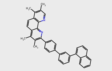 Cc1cnc2c(ccc3c(C)c(C)c(-c4ccc(-c5cccc(-c6cccc7ccccc67)c5)cc4)nc32)c1C